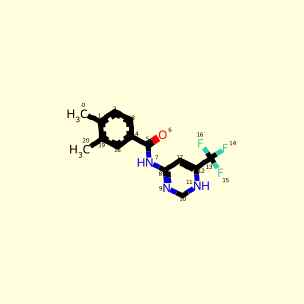 Cc1ccc(C(=O)NC2=NCNC(C(F)(F)F)=C2)cc1C